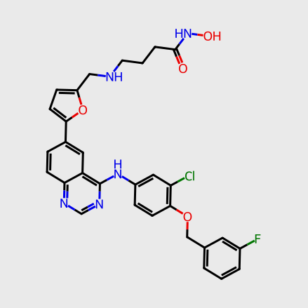 O=C(CCCNCc1ccc(-c2ccc3ncnc(Nc4ccc(OCc5cccc(F)c5)c(Cl)c4)c3c2)o1)NO